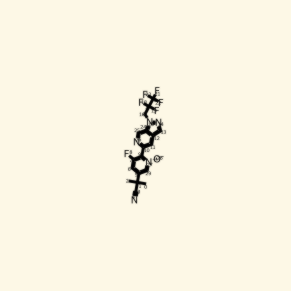 CC(C)(C#N)c1cc(F)c(-c2cc3cnn(CC(F)(F)C(F)(F)F)c3cn2)[n+]([O-])c1